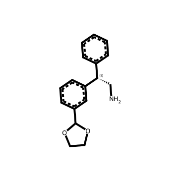 NC[C@@H](c1ccccc1)c1cccc(C2OCCO2)c1